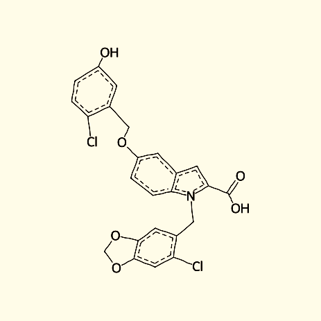 O=C(O)c1cc2cc(OCc3cc(O)ccc3Cl)ccc2n1Cc1cc2c(cc1Cl)OCO2